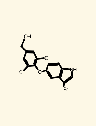 CC(C)c1c[nH]c2ccc(Oc3c(Cl)cc(CO)cc3Cl)cc12